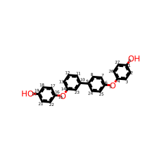 Oc1ccc(Oc2ccc(-c3cccc(Oc4ccc(O)cc4)c3)cc2)cc1